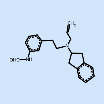 C=CCN(CCc1cccc(NC=O)c1)C1Cc2ccccc2C1